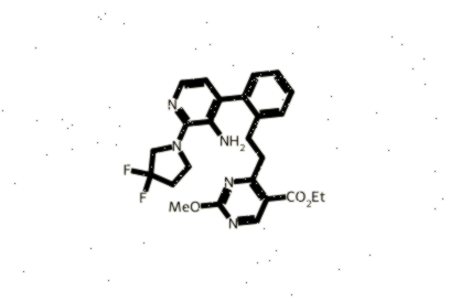 CCOC(=O)c1cnc(OC)nc1CCc1ccccc1-c1ccnc(N2CCC(F)(F)C2)c1N